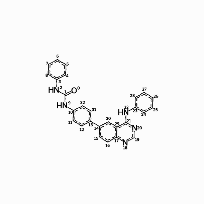 O=C(Nc1ccccc1)Nc1ccc(-c2ccc3ncnc(Nc4ccccc4)c3c2)cc1